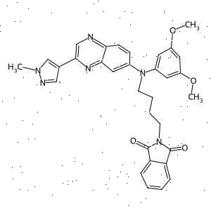 COc1cc(OC)cc(N(CCCCN2C(=O)c3ccccc3C2=O)c2ccc3ncc(-c4cnn(C)c4)nc3c2)c1